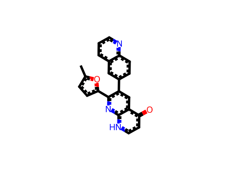 Cc1ccc(-c2nc3[nH]ccc(=O)c3cc2-c2ccc3ncccc3c2)o1